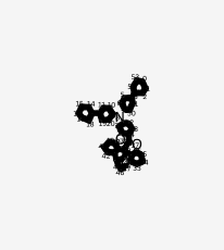 c1ccc(-c2ccc(N(c3ccc(-c4ccccc4)cc3)c3ccc4c5c(oc4c3)C3(c4ccccc4O5)c4ccccc4-c4ccccc43)cc2)cc1